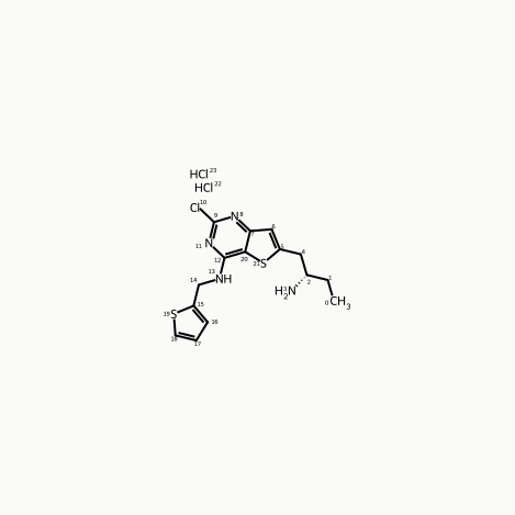 CC[C@H](N)Cc1cc2nc(Cl)nc(NCc3cccs3)c2s1.Cl.Cl